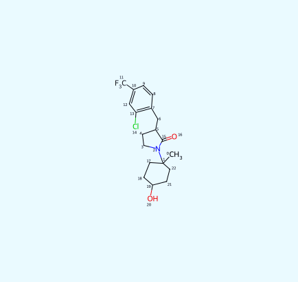 CC1(N2CCC(Cc3ccc(C(F)(F)F)cc3Cl)C2=O)CCC(O)CC1